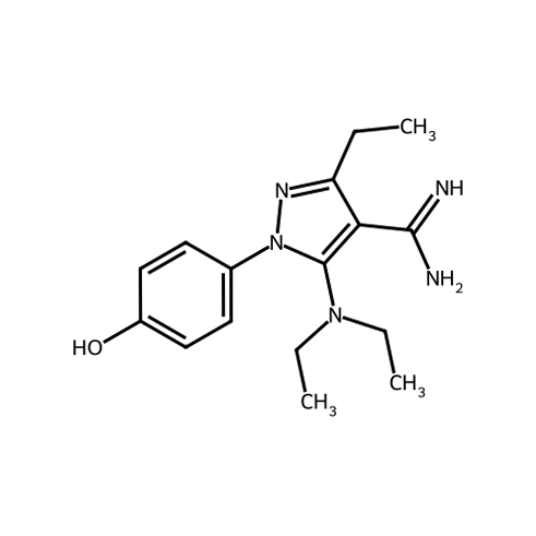 CCc1nn(-c2ccc(O)cc2)c(N(CC)CC)c1C(=N)N